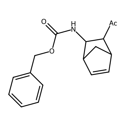 CC(=O)C1C2C=CC(C2)C1NC(=O)OCc1ccccc1